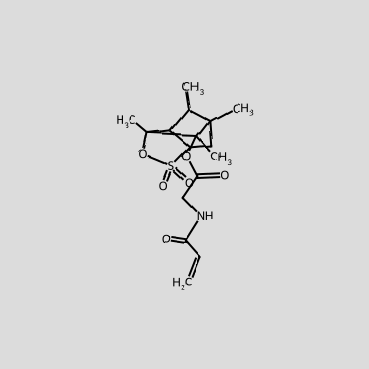 C=CC(=O)NCC(=O)OC1(C)C2(C)CC3C(C2C)C1(C)OS3(=O)=O